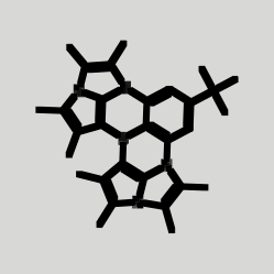 Cc1c2c3n(c(C)c(C)n3c1C)-c1cc(C(C)(C)C)cc3c1B2c1c(C)c(C)n2c(C)c(C)n-3c12